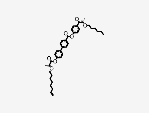 C=CCCCCCCO[C@@H](C)C(=O)Oc1ccc(-c2ccc(C(=O)Oc3ccc(C(=O)[C@H](C)OCCCCCC)cc3)cc2)cc1